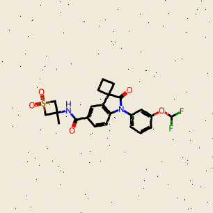 CC1(NC(=O)c2ccc3c(c2)C2(CCC2)C(=O)N3c2cccc(OC(F)F)c2)CS(=O)(=O)C1